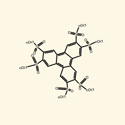 CCCCCCCCS(=O)(=O)c1cc2c3cc(S(=O)(=O)CCCCCCCC)c(S(=O)(=O)CCCCCCCC)cc3c3cc(S(=O)(=O)CCCCCCCC)c(S(=O)(=O)CCCCCCCC)cc3c2cc1S(=O)(=O)CCCCCCCC